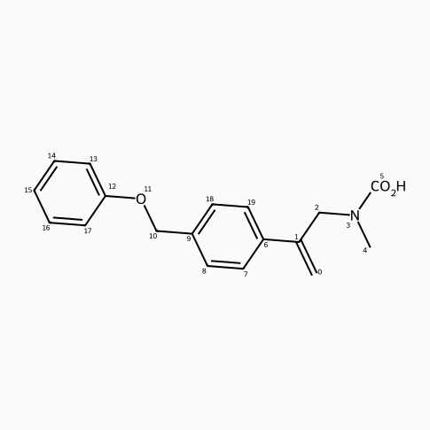 C=C(CN(C)C(=O)O)c1ccc(COc2ccccc2)cc1